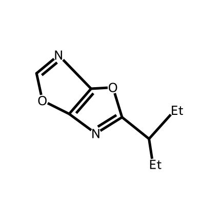 CCC(CC)c1nc2ocnc2o1